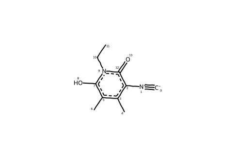 [C-]#[N+]c1c(C)c(C)c(O)n(CC)c1=O